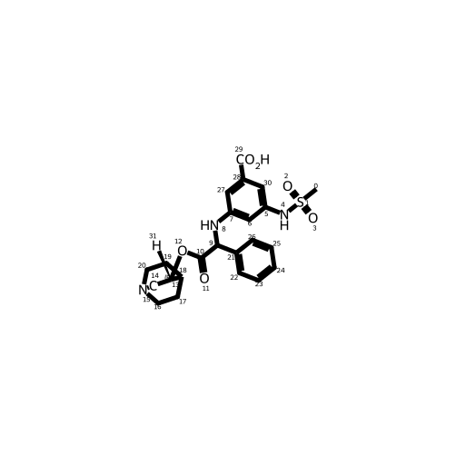 CS(=O)(=O)Nc1cc(NC(C(=O)O[C@H]2CN3CCC2CC3)c2ccccc2)cc(C(=O)O)c1